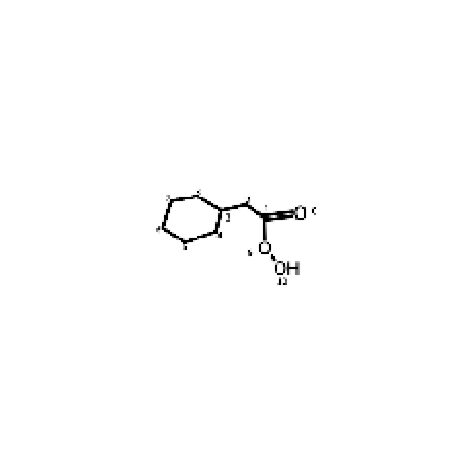 O=C(CC1CCCCC1)OO